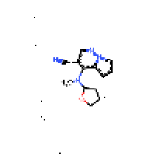 CN(c1c(C#N)cnn2cccc12)C1CCCO1